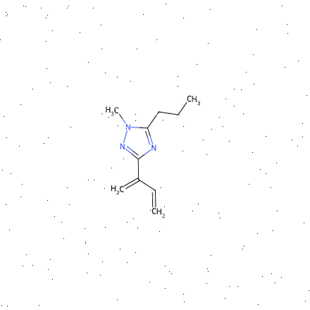 C=CC(=C)c1nc(CCC)n(C)n1